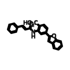 O=C(/C=C/c1ccccc1)Nc1cc(-c2cc3ccccc3o2)ccc1C(=O)O